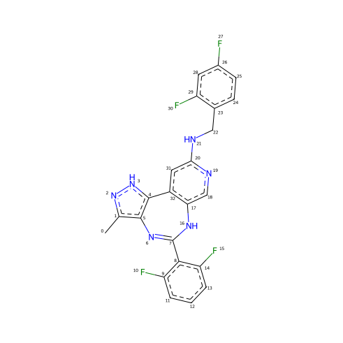 Cc1n[nH]c2c1N=C(c1c(F)cccc1F)Nc1cnc(NCc3ccc(F)cc3F)cc1-2